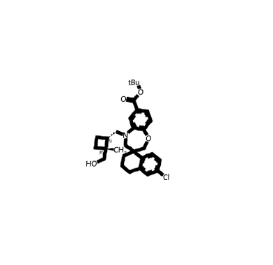 CC(C)(C)OC(=O)c1ccc2c(c1)N(C[C@H]1CC[C@@]1(C)CO)CC1(CCCc3cc(Cl)ccc31)CO2